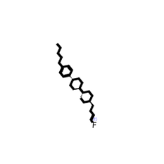 CCCCCc1ccc([C@H]2CC[C@H]([C@H]3CC[C@H](CC/C=C/F)CC3)CC2)cc1